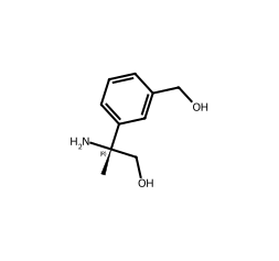 C[C@](N)(CO)c1cccc(CO)c1